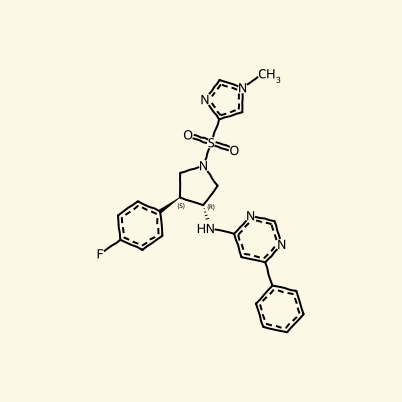 Cn1cnc(S(=O)(=O)N2C[C@H](Nc3cc(-c4ccccc4)ncn3)[C@@H](c3ccc(F)cc3)C2)c1